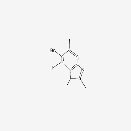 CC1=Nc2cc(I)c(Br)c(I)c2C1C